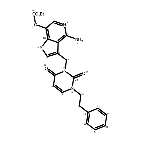 CCOC(=O)Oc1cnc(N)c2c(Cn3c(=O)ccn(CCc4ccccc4)c3=O)csc12